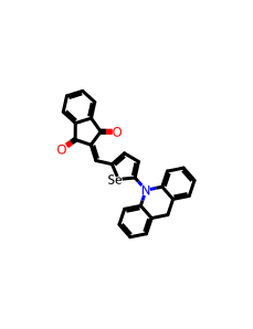 O=C1C(=Cc2ccc(N3c4ccccc4Cc4ccccc43)[se]2)C(=O)c2ccccc21